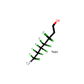 OCCC(F)(F)C(F)(F)C(F)(F)C(F)(F)C(F)(F)C(F)(F)F.[NaH]